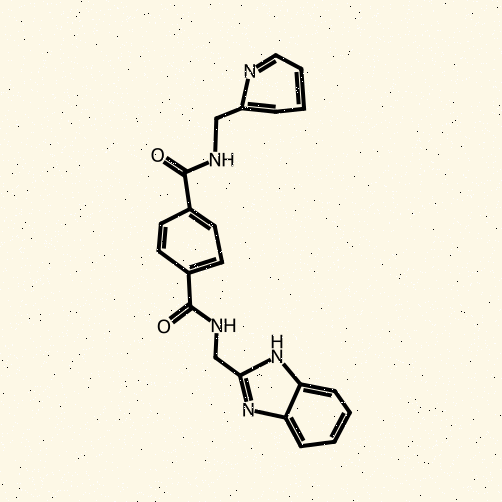 O=C(NCc1ccccn1)c1ccc(C(=O)NCc2nc3ccccc3[nH]2)cc1